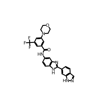 O=C(Nc1ccc2[nH]c(-c3ccc4cn[nH]c4c3)nc2c1)c1cc(N2CCOCC2)cc(C(F)(F)F)c1